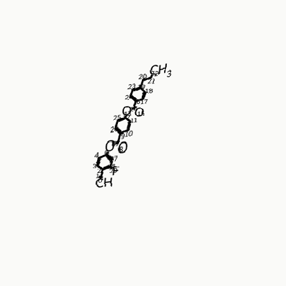 C#Cc1ccc(OC(=O)c2ccc(OC(=O)c3ccc(CCC)cc3)cc2)cc1F